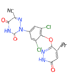 CC(C)c1cc(=O)[nH]nc1Oc1c(Cl)cc(-n2nc(C#N)c(=O)[nH]c2=O)cc1Cl